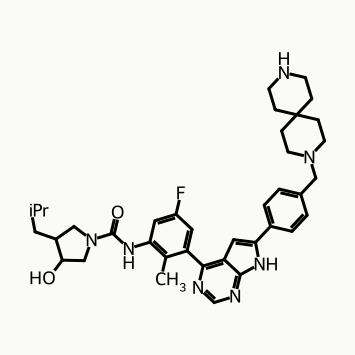 Cc1c(NC(=O)N2CC(O)C(CC(C)C)C2)cc(F)cc1-c1ncnc2[nH]c(-c3ccc(CN4CCC5(CCNCC5)CC4)cc3)cc12